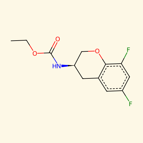 CCOC(=O)N[C@H]1COc2c(F)cc(F)cc2C1